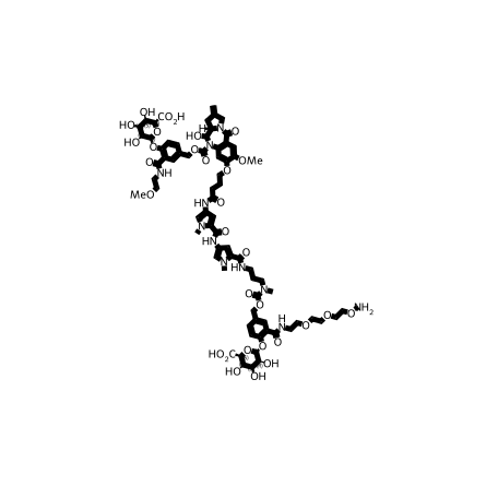 C=C1C[C@H]2C(O)N(C(=O)OCc3ccc(O[C@@H]4O[C@H](C(=O)O)[C@@H](O)[C@H](O)[C@H]4O)c(C(=O)NCCOC)c3)c3cc(OCCCC(=O)Nc4cc(C(=O)Nc5cc(C(=O)NCCCN(C)C(=O)OCc6ccc(O[C@@H]7O[C@H](C(=O)O)[C@@H](O)[C@H](O)[C@H]7O)c(C(=O)NCCOCCOCCON)c6)n(C)c5)n(C)c4)c(OC)cc3C(=O)N2C1